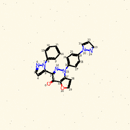 O=c1c(-c2ccnn2-c2ccccc2)nn(-c2ccc(-n3cccn3)cc2)c2ccoc12